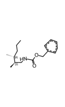 CCC[C@@H](C)[C@H](C)CNC(=O)OCc1ccccc1